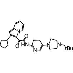 CC(C)(C)CN1CCN(c2ccc(NC(=O)C(=O)c3c(C4CCCC4)cc4ccccn34)nc2)CC1